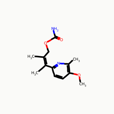 COc1ccc(/C(C)=C(/C)COC(N)=O)nc1C